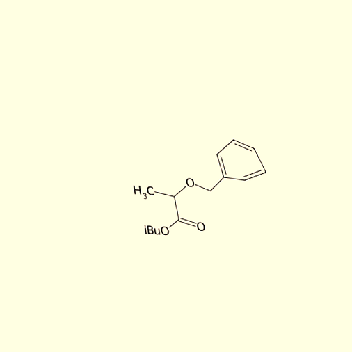 CC(C)COC(=O)C(C)OCc1ccccc1